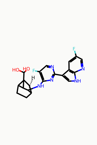 OC(O)C1C2CCC(CC2)[C@@H]1Nc1nc(-c2c[nH]c3ncc(F)cc23)ncc1F